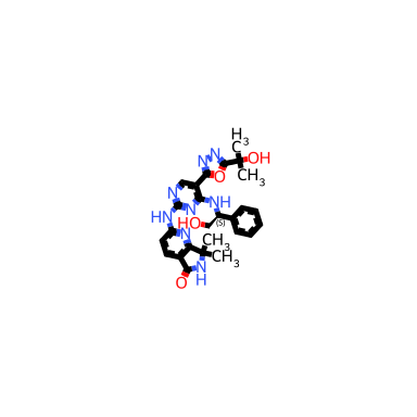 CC(C)(O)c1nnc(-c2cnc(Nc3ccc4c(n3)C(C)(C)NC4=O)nc2N[C@H](CO)c2ccccc2)o1